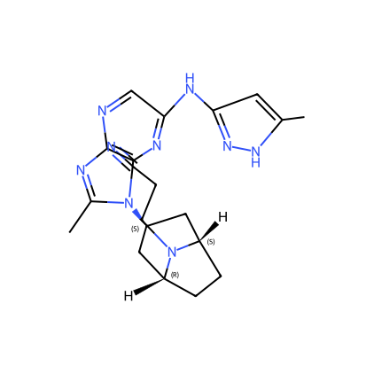 Cc1cc(Nc2cnc3nc(C)n([C@@H]4C[C@H]5CC[C@@H](C4)N5CCC#N)c3n2)n[nH]1